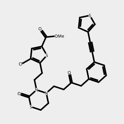 COC(=O)c1cc(Cl)c(CCN2C(=O)SCCN2CCC(=O)Cc2cccc(C#Cc3ccsc3)c2)s1